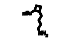 CCCCC1CCC1CCCCN